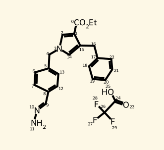 CCOC(=O)c1cn(Cc2ccc(C=NN)cc2)cc1Cc1ccccc1.O=C(O)C(F)(F)F